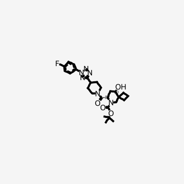 CC(C)(C)OC(=O)N1CC2(CCC2)[C@H](O)C[C@H]1C(=O)N1CCC(c2nnn(-c3ccc(F)cc3)n2)CC1